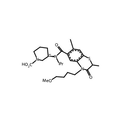 COCCCCN1C(=O)C(C)Sc2cc(C)c(C(=O)N(C(C)C)[C@@H]3CCCN(C(=O)O)C3)cc21